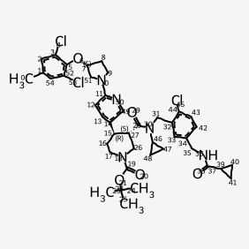 Cc1cc(Cl)c(O[C@H]2CCN(c3ccc([C@@H]4CCN(C(=O)OC(C)(C)C)C[C@H]4C(=O)N(Cc4cc(CNC(=O)C5CC5)ccc4Cl)C4CC4)cn3)C2)c(Cl)c1